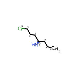 CCCC(=N)CCCCl